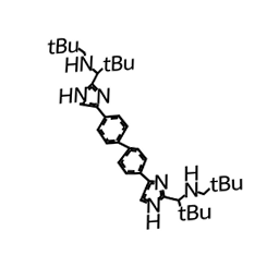 CC(C)(C)CNC(c1nc(-c2ccc(-c3ccc(-c4c[nH]c(C(NCC(C)(C)C)C(C)(C)C)n4)cc3)cc2)c[nH]1)C(C)(C)C